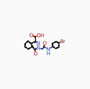 O=C(Cn1nc(C(=O)O)c2ccccc2c1=O)Nc1ccc(Br)cc1